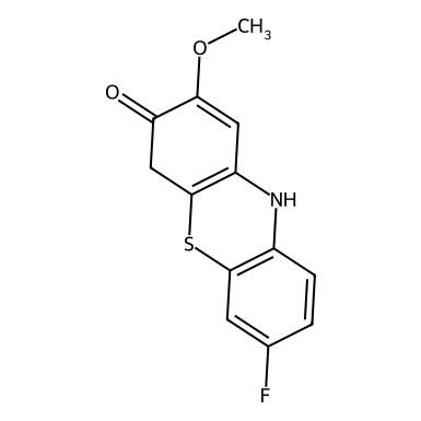 COC1=CC2=C(CC1=O)Sc1cc(F)ccc1N2